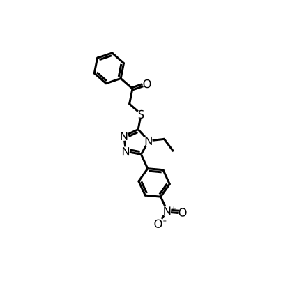 CCn1c(SCC(=O)c2ccccc2)nnc1-c1ccc([N+](=O)[O-])cc1